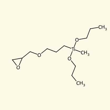 CCC[O][Ti]([CH3])([CH2]CCOCC1CO1)[O]CCC